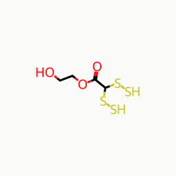 O=C(OCCO)C(SS)SS